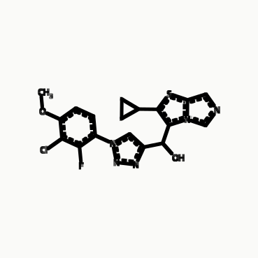 COc1ccc(-n2cc(C(O)c3c(C4CC4)sc4cncn34)nn2)c(F)c1Cl